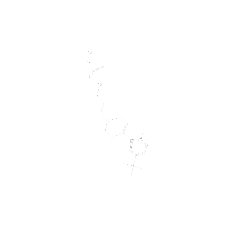 NNC(=O)NNCCCN1CC=C(c2cc(C(F)(F)F)ccc2Cl)CC1